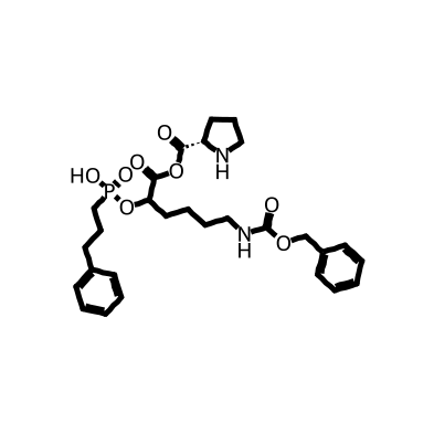 O=C(NCCCCC(OP(=O)(O)CCCc1ccccc1)C(=O)OC(=O)[C@@H]1CCCN1)OCc1ccccc1